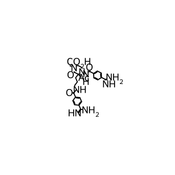 CC(=O)C1(CCCNC(=O)c2ccc(C(=N)N)cc2)C(=O)N(CC(=O)O)CCN1NC(=O)c1ccc(C(=N)N)cc1